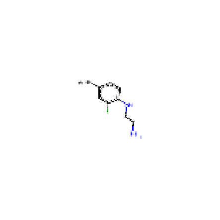 CC(=O)Nc1ccc(NCCN)c(F)c1